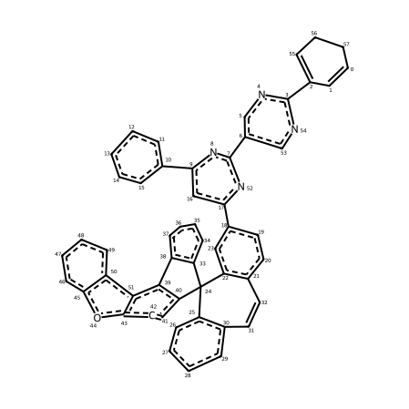 C1=CC(c2ncc(-c3nc(-c4ccccc4)cc(-c4ccc5c(c4)C4(c6ccccc6C=C5)c5ccccc5-c5c4ccc4oc6ccccc6c54)n3)cn2)=CCC1